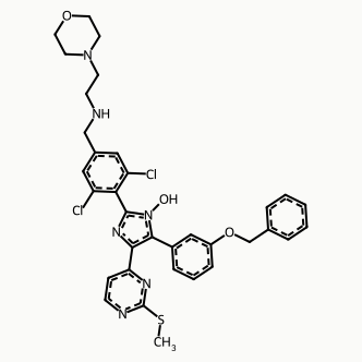 CSc1nccc(-c2nc(-c3c(Cl)cc(CNCCN4CCOCC4)cc3Cl)n(O)c2-c2cccc(OCc3ccccc3)c2)n1